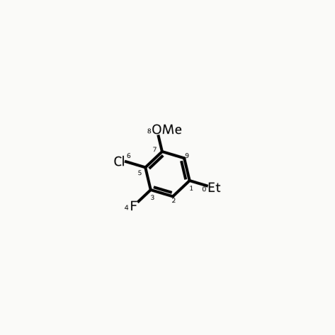 [CH2]Cc1cc(F)c(Cl)c(OC)c1